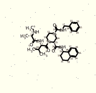 CN[C@@H](C)C(=O)N[C@H](C(=O)N1CCN(C(=O)NCc2ccccc2)C[C@H]1C(=O)N[C@@H]1CCCc2ccccc21)C(C)C